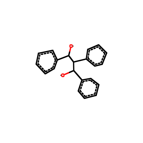 [O]C(c1ccccc1)C(c1ccccc1)C([O])c1ccccc1